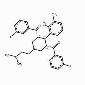 Cc1cccc([C@@H]2[C@@H](C(=O)c3cccc(F)c3)CN(CCN(C)C)C[C@H]2C(=O)c2cccc(F)c2)c1C